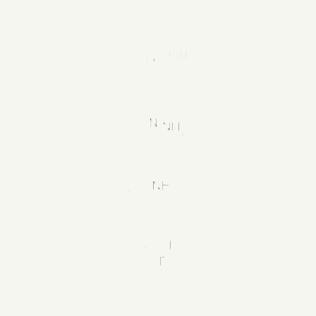 C=C(C)/C(CCC(=O)O)=C(/C)N(N)Cc1ccc(NC(=O)c2ccc(C(F)(F)F)cc2C)cc1